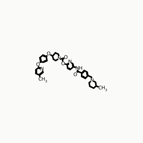 Cc1ccc(Oc2ccc(OC3CCN(C(=O)Oc4ccc(NC(=O)c5ccc(CN6CCCC(C)C6)cc5)cn4)CC3)cc2)nc1